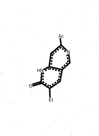 CCc1cc2cnc(C(C)=O)cc2[nH]c1=O